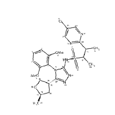 COc1cccc(OC)c1-n1c(NS(=O)(=O)C(C)C(C)c2ncc(Cl)cn2)nnc1[C@H]1CO[C@H](C)C1